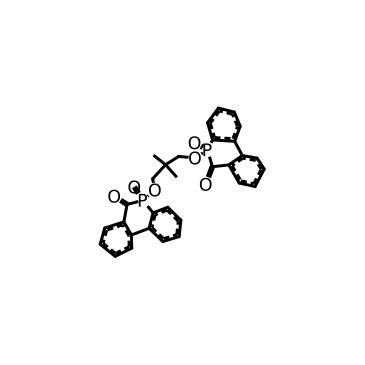 CC(C)(COP1(=O)C(=O)c2ccccc2-c2ccccc21)COP1(=O)C(=O)c2ccccc2-c2ccccc21